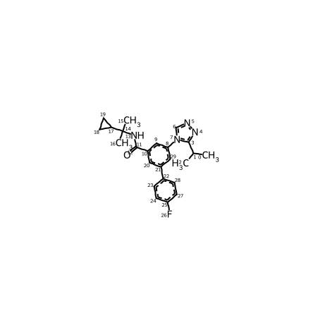 CC(C)c1nncn1-c1cc(C(=O)NC(C)(C)C2CC2)cc(-c2ccc(F)cc2)c1